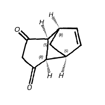 O=C1CC(=O)[C@H]2[C@@H]1[C@H]1C=C[C@@H]2C1